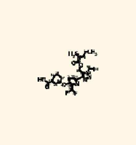 CCCN(C)C(=O)OCc1c(-c2ccc(O[C@H]3CCC[C@H](C(=O)O)C3)c(C(F)F)n2)nnn1CI